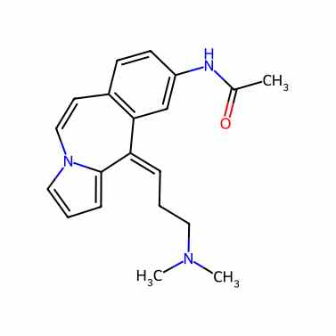 CC(=O)Nc1ccc2c(c1)C(=CCCN(C)C)c1cccn1C=C2